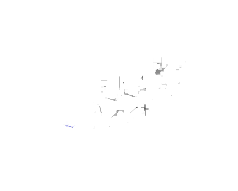 C/C=C/CCc1cc(F)c2c(F)c([C@@H]3CC[C@@H]4CC(C)CCC4C3)c(F)cc2c1